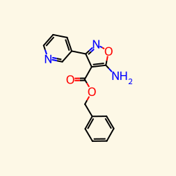 Nc1onc(-c2cccnc2)c1C(=O)OCc1ccccc1